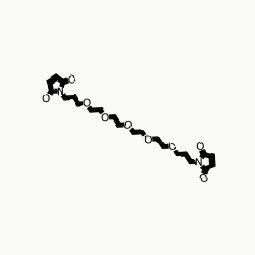 O=C1C=CC(=O)N1CCCOCCOCCOCCOCCOCCCN1C(=O)C=CC1=O